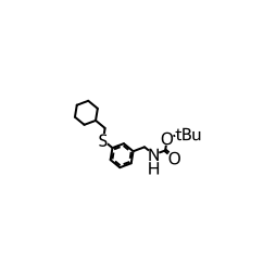 CC(C)(C)OC(=O)NCc1cccc(SCC2CCCCC2)c1